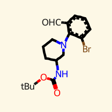 CC(C)(C)OC(=O)NC1CCCN(c2c(Br)cccc2C=O)C1